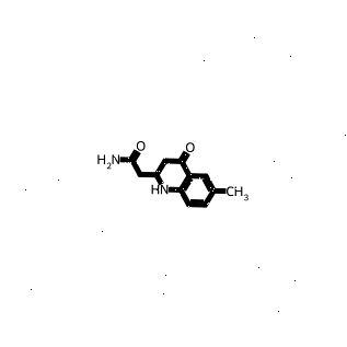 Cc1ccc2c(c1)C(=O)CC(CC(N)=O)N2